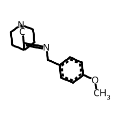 COc1ccc(CN=C2CN3CCC2CC3)cc1